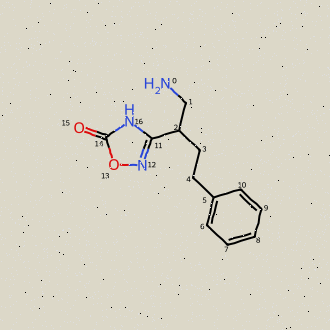 NCC(CCc1ccccc1)c1noc(=O)[nH]1